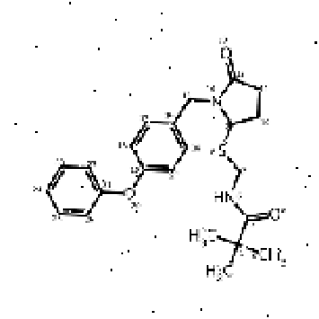 CC(C)(C)C(=O)NCSC1CCC(=O)N1Cc1ccc(Oc2ccccc2)cc1